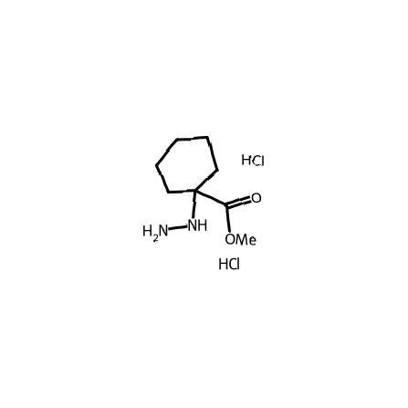 COC(=O)C1(NN)CCCCC1.Cl.Cl